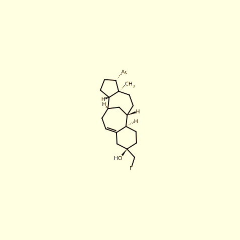 CC(=O)[C@H]1CC[C@H]2[C@@H]3CC=C4C[C@@](O)(CF)CC[C@@H]4[C@@H](CC[C@]12C)C3